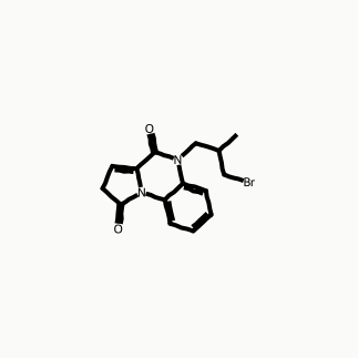 CC(CBr)CN1C(=O)C2=CCC(=O)N2c2ccccc21